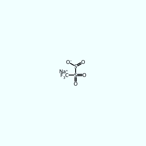 O=S([O-])S(=O)(=O)C(F)(F)F.[Na+]